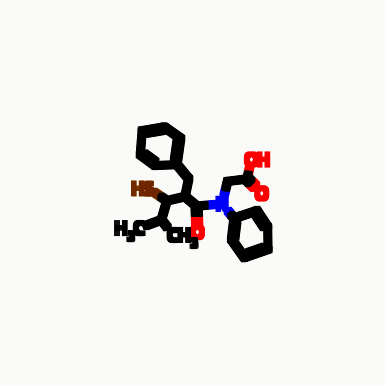 CC(C)C(S)C(Cc1ccccc1)C(=O)N(CC(=O)O)c1ccccc1